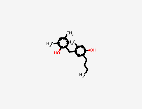 CCCCc1cc(Cc2cc(C)cc(C)c2O)c(C)cc1O